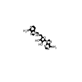 Nc1nccc2c1ncn2CNCC1OC(n2cnc3c(N)ncnc32)C(O)C1O